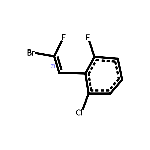 F/C(Br)=C\c1c(F)cccc1Cl